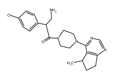 CC1CCc2ncnc(N3CCN(C(=O)C(CN)c4ccc(Cl)cc4)CC3)c21